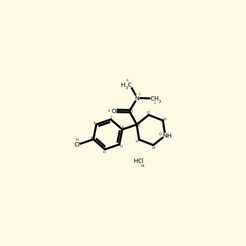 CN(C)C(=O)C1(c2ccc(Cl)cc2)CCNCC1.Cl